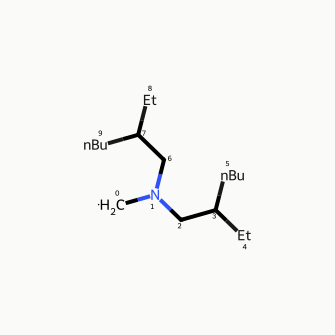 [CH2]N(CC(CC)CCCC)CC(CC)CCCC